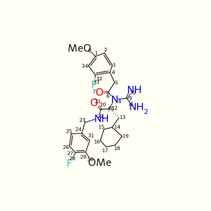 COc1ccc(CC(=O)N(C(=N)N)[C@H](CC2CCCCC2)C(=O)NCc2ccc(F)c(OC)c2)c(F)c1